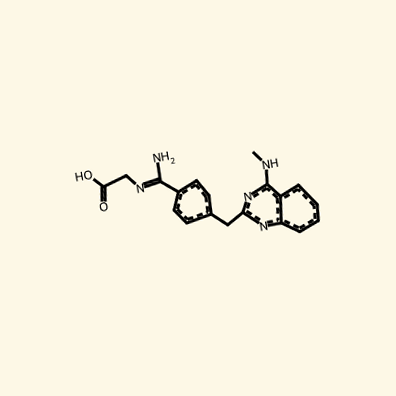 CNc1nc(Cc2ccc(C(N)=NCC(=O)O)cc2)nc2ccccc12